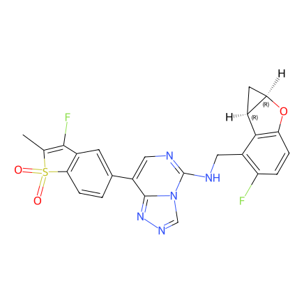 CC1=C(F)c2cc(-c3cnc(NCc4c(F)ccc5c4[C@H]4C[C@H]4O5)n4cnnc34)ccc2S1(=O)=O